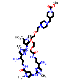 Cn1cc(Nc2nc(C(N)CCNC(=O)c3cc(Nc4nc(C(N)CCNC(=O)COCCOCCOCCN5CCN(CC6CCN(C(=O)OC(C)(C)C)CC6)CC5)cn4C)cn3C)cn2C)cc1C(=O)O